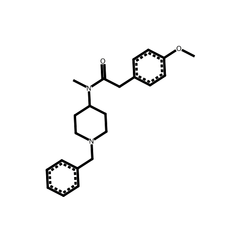 COc1ccc(CC(=O)N(C)C2CCN(Cc3ccccc3)CC2)cc1